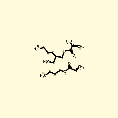 C=C(C)C(=O)OCC(CC)CCCC.C=CC(=O)OCCCC